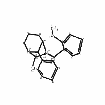 COc1ccccc1CN1C2CCCN(C2c2ccccc2)C1C